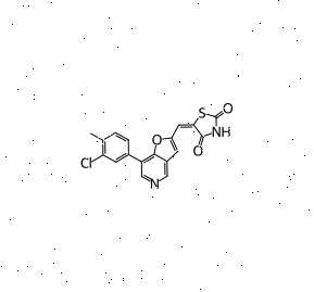 Cc1ccc(-c2cncc3cc(/C=C4/SC(=O)NC4=O)oc23)cc1Cl